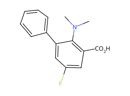 CN(C)c1c(C(=O)O)cc(F)cc1-c1ccccc1